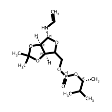 C=CN[C@@H]1OC(CO[PH](=O)O[C@H](C)C(C)C)[C@H]2OC(C)(C)O[C@@H]12